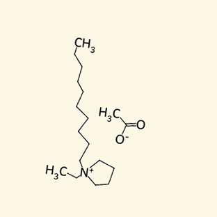 CC(=O)[O-].CCCCCCCCCC[N+]1(CC)CCCC1